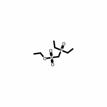 CCOS(=O)(=O)CP(=O)(CC)CC